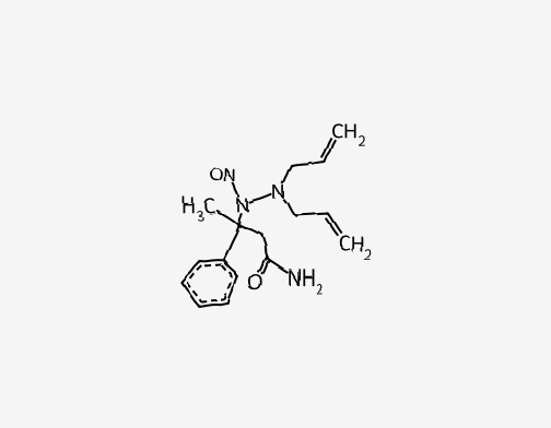 C=CCN(CC=C)N(N=O)C(C)(CC(N)=O)c1ccccc1